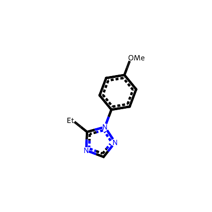 CCc1ncnn1-c1ccc(OC)cc1